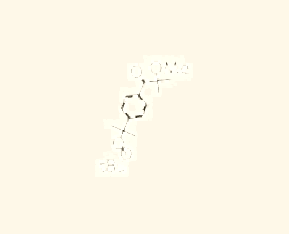 COC(C)(C)C(=O)c1ccc(C(C)(C)OOC(C)(C)C)cc1